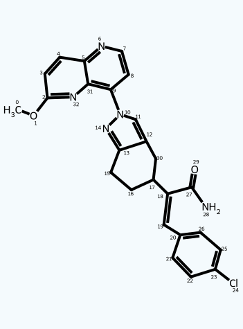 COc1ccc2nccc(-n3cc4c(n3)CCC(C(=Cc3ccc(Cl)cc3)C(N)=O)C4)c2n1